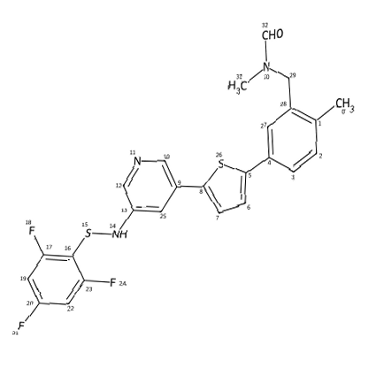 Cc1ccc(-c2ccc(-c3cncc(NSc4c(F)cc(F)cc4F)c3)s2)cc1CN(C)C=O